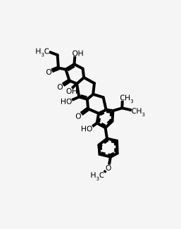 CCC(=O)C1=C(O)CC2CC3Cc4c(C(C)C)cc(-c5ccc(OC)cc5)c(O)c4C(=O)C3=C(O)C2(O)C1=O